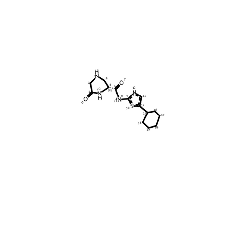 O=C1CNC[C@H](C(=O)Nc2ncc(C3CCCCC3)s2)N1